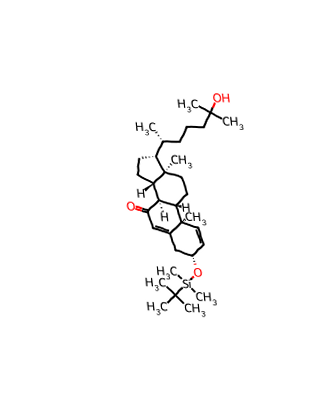 C[C@H](CCCC(C)(C)O)[C@H]1CC[C@H]2[C@@H]3C(=O)C=C4C[C@@H](O[Si](C)(C)C(C)(C)C)C=C[C@]4(C)[C@H]3CC[C@]12C